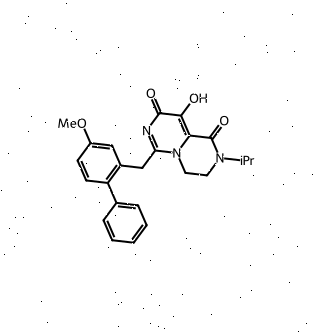 COc1ccc(-c2ccccc2)c(Cc2nc(=O)c(O)c3n2CCN(C(C)C)C3=O)c1